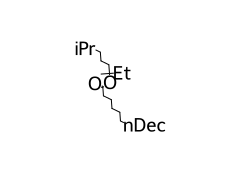 CCCCCCCCCCCCCCCC(=O)OC(C)(CC)CCCC(C)C